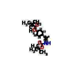 CC(C)(C)OC(=O)N[C@@H]1C[C@H]1c1ccc(OC(=O)C(C)(C)C)cc1